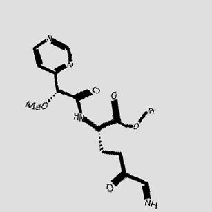 CO[C@@H](C(=O)N[C@@H](CCC(=O)C=N)C(=O)OC(C)C)c1ccncn1